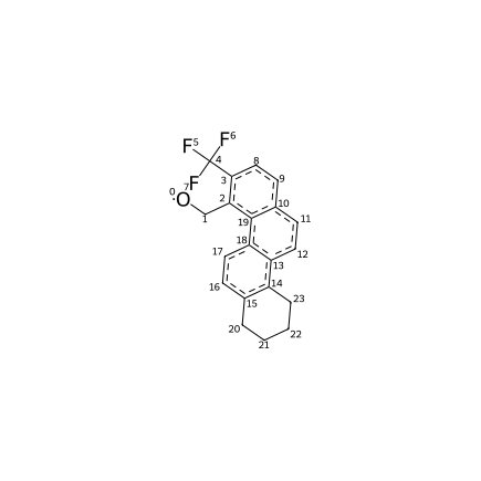 [O]Cc1c(C(F)(F)F)ccc2ccc3c4c(ccc3c12)CCCC4